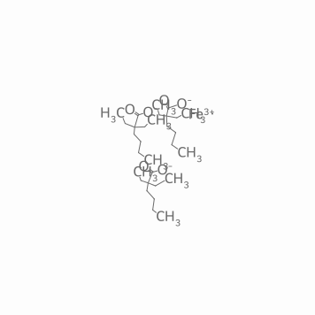 CCCCC(CC)(CC)C(=O)[O-].CCCCC(CC)(CC)C(=O)[O-].CCCCC(CC)(CC)C(=O)[O-].[Fe+3]